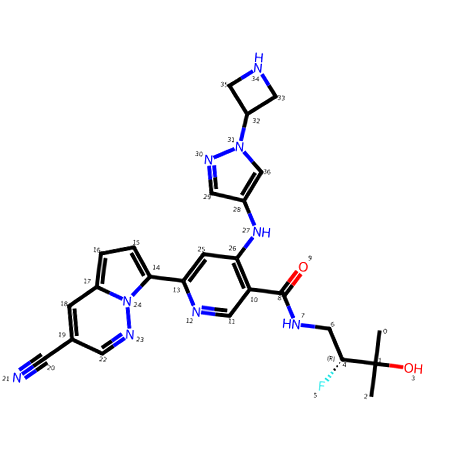 CC(C)(O)[C@H](F)CNC(=O)c1cnc(-c2ccc3cc(C#N)cnn23)cc1Nc1cnn(C2CNC2)c1